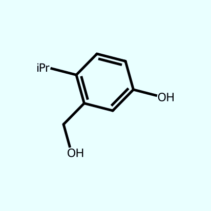 CC(C)c1ccc(O)cc1CO